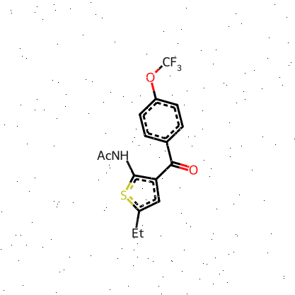 CCc1cc(C(=O)c2ccc(OC(F)(F)F)cc2)c(NC(C)=O)s1